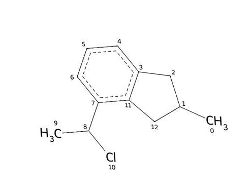 CC1Cc2cccc(C(C)Cl)c2C1